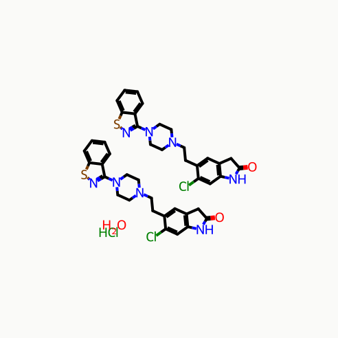 Cl.O.O=C1Cc2cc(CCN3CCN(c4nsc5ccccc45)CC3)c(Cl)cc2N1.O=C1Cc2cc(CCN3CCN(c4nsc5ccccc45)CC3)c(Cl)cc2N1